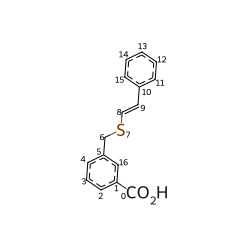 O=C(O)c1cccc(CSC=Cc2ccccc2)c1